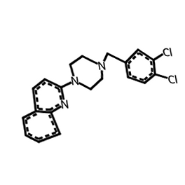 Clc1ccc(CN2CCN(c3ccc4ccccc4n3)CC2)cc1Cl